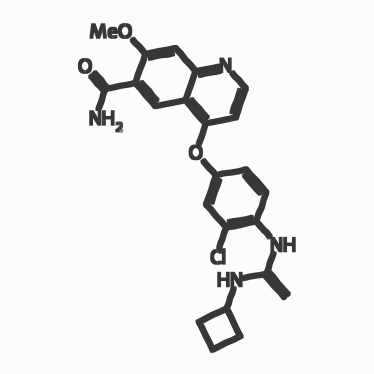 C=C(Nc1ccc(Oc2ccnc3cc(OC)c(C(N)=O)cc23)cc1Cl)NC1CCC1